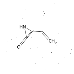 C=CC1NC1=O